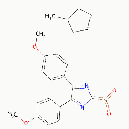 CC1CCCC1.COc1ccc(C2=NC(=S(=O)=O)N=C2c2ccc(OC)cc2)cc1